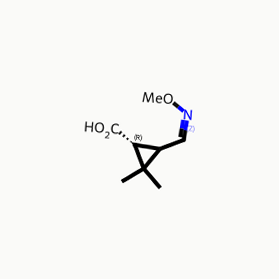 CO/N=C\C1[C@@H](C(=O)O)C1(C)C